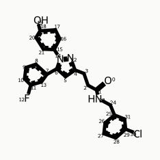 O=C(CCc1cc(-c2cccc(F)c2)n(-c2ccc(O)cc2)n1)NCc1cccc(Cl)c1